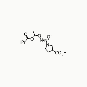 CC(O/N=[N+](\[O-])N1CCC(C(=O)O)C1)OC(=O)C(C)C